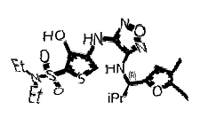 CCN(CC)S(=O)(=O)c1scc(Nc2nonc2N[C@@H](c2cc(C)c(C)o2)C(C)C)c1O